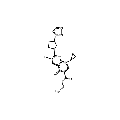 CCOC(=O)c1cn(C2CC2)c2nc(N3CCC(n4ccnn4)C3)c(F)cc2c1=O